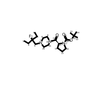 CCC(F)(CC)CN1CCN(C(=O)[C@@H]2CCCN2C(=O)OC(C)(C)C)CC1